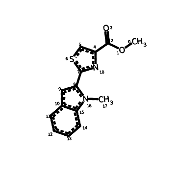 COC(=O)c1csc(-c2cc3ccccc3n2C)n1